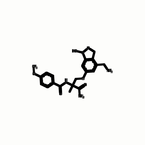 CC(COc1cc(CN)c2c(c1)B(O)OC2)(NC(=O)c1ccc(OC(F)(F)F)cc1)C(N)=O